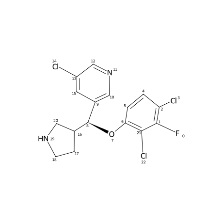 Fc1c(Cl)ccc(O[C@H](c2cncc(Cl)c2)C2CCNC2)c1Cl